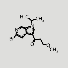 COCCC(=O)c1cn(C(C)C)c2cnc(Br)cc12